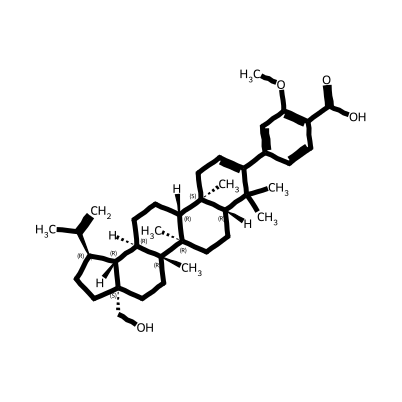 C=C(C)[C@@H]1CC[C@]2(CO)CC[C@]3(C)[C@H](CC[C@@H]4[C@@]5(C)CC=C(c6ccc(C(=O)O)c(OC)c6)C(C)(C)[C@@H]5CC[C@]43C)[C@@H]12